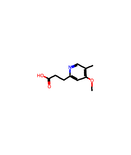 COc1cc(CCC(=O)O)ncc1C